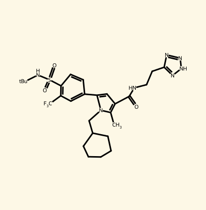 Cc1c(C(=O)NCCc2nn[nH]n2)cc(-c2ccc(S(=O)(=O)NC(C)(C)C)c(C(F)(F)F)c2)n1CC1CCCCC1